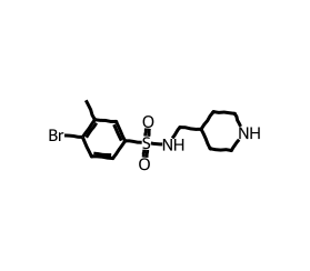 Cc1cc(S(=O)(=O)NCC2CCNCC2)ccc1Br